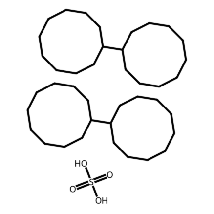 C1CCCCC(C2CCCCCCCCC2)CCCC1.C1CCCCC(C2CCCCCCCCC2)CCCC1.O=S(=O)(O)O